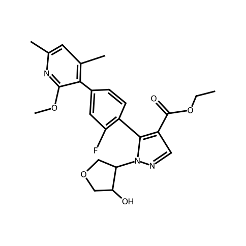 CCOC(=O)c1cnn(C2COCC2O)c1-c1ccc(-c2c(C)cc(C)nc2OC)cc1F